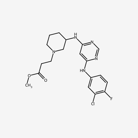 COC(=O)CCN1CCCC(Nc2cc(Nc3ccc(F)c(Cl)c3)ncn2)C1